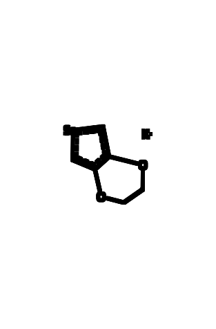 [K].c1[se]cc2c1OCCO2